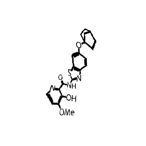 COc1ccnc(C(=O)Nc2nc3ccc(OC45CCC(CC4)C5)cc3s2)c1O